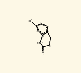 CC(C)(C)c1ccc2c(n1)NC(=O)CC2